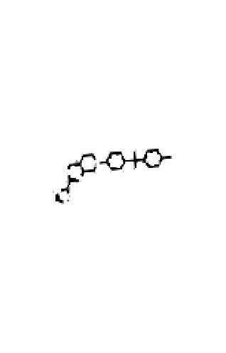 Cc1ccc(C(C)(C)c2ccc(N3CCc4cnc(-c5nncs5)nc4C3)cc2)cc1